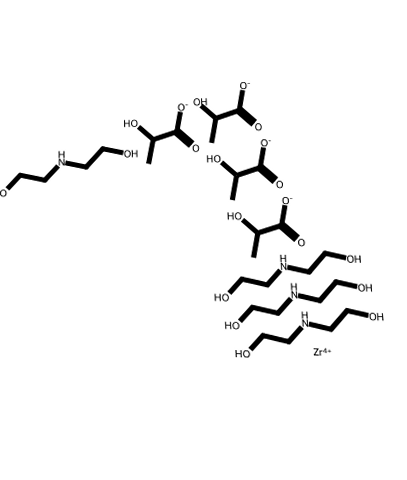 CC(O)C(=O)[O-].CC(O)C(=O)[O-].CC(O)C(=O)[O-].CC(O)C(=O)[O-].OCCNCCO.OCCNCCO.OCCNCCO.OCCNCCO.[Zr+4]